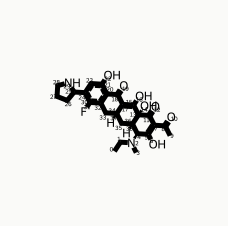 CCN(C)[C@@H]1C(O)=C(C(C)=O)C(=O)[C@@]2(O)C(O)=C3C(=O)c4c(O)cc(C5CCCN5)c(F)c4C[C@H]3C[C@@H]12